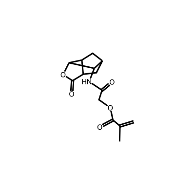 C=C(C)C(=O)OCC(=O)NC1C2CC3C(=O)OC1C3C2